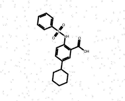 O=C(O)c1cc(C2CCCCC2)ccc1NS(=O)(=O)c1ccccc1